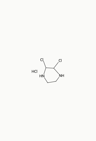 Cl.ClC1NCCNC1Cl